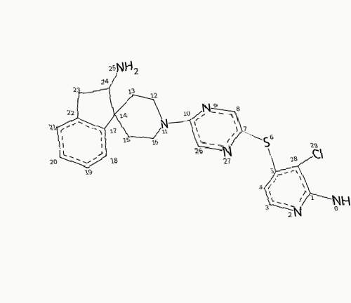 Nc1nccc(Sc2cnc(N3CCC4(CC3)c3ccccc3CC4N)cn2)c1Cl